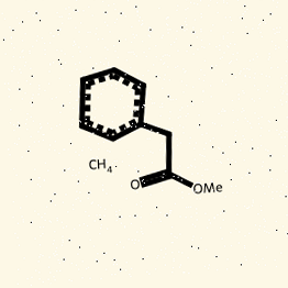 C.COC(=O)Cc1ccccc1